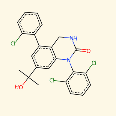 CC(C)(O)c1cc(-c2ccccc2Cl)c2c(c1)N(c1c(Cl)cccc1Cl)C(=O)NC2